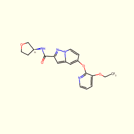 O=C(N[C@H]1CCOC1)c1cc2cc(Oc3ncccc3OCC(F)(F)F)ccn2n1